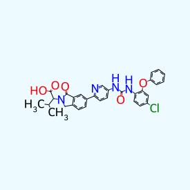 CC(C)C(C(=O)O)N1Cc2ccc(-c3ccc(NC(=O)Nc4ccc(Cl)cc4Oc4ccccc4)cn3)cc2C1=O